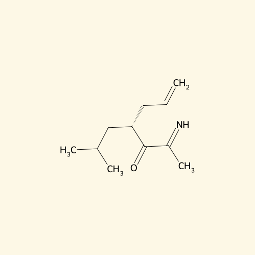 C=CC[C@@H](CC(C)C)C(=O)C(C)=N